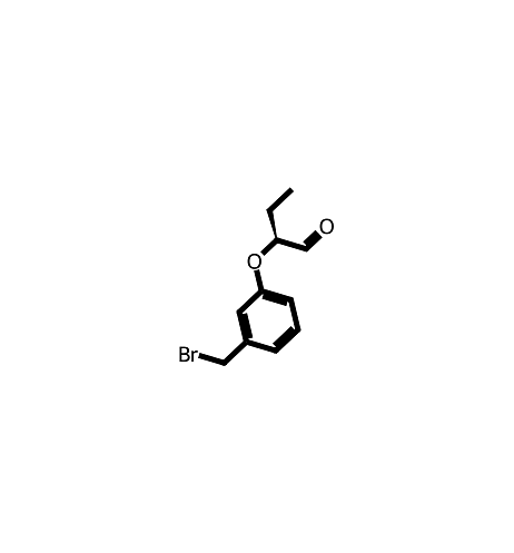 CC[C@@H](C=O)Oc1cccc(CBr)c1